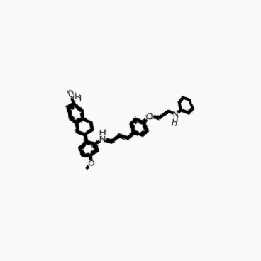 COc1ccc(C2CCc3cc(O)ccc3C2)c(NCCCc2ccc(OCCNC3CCCCC3)cc2)c1